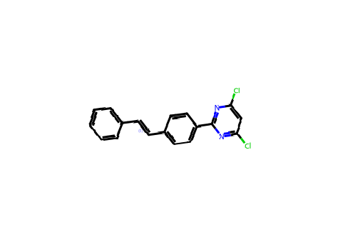 Clc1cc(Cl)nc(-c2ccc(/C=C/c3ccccc3)cc2)n1